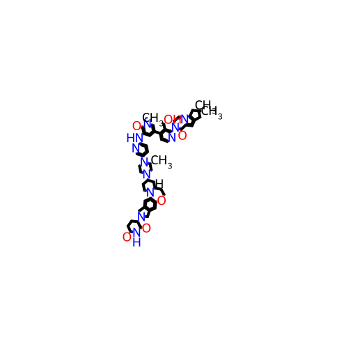 C[C@@H]1CN([C@@H]2CCN3c4cc5c(cc4OCC[C@@H]3C2)CN(C2CCC(=O)NC2=O)C5)CCN1c1ccc(Nc2cc(-c3ccnc(N4CCn5c(cc6c5CC(C)(C)C6)C4=O)c3CO)cn(C)c2=O)nc1